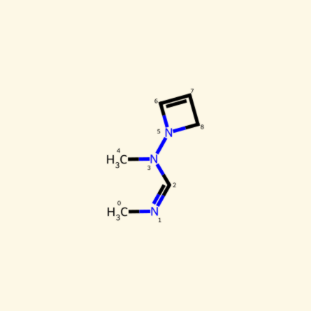 C/N=C\N(C)N1C=CC1